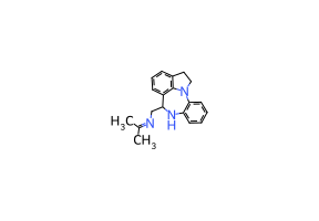 CC(C)=NCC1Nc2ccccc2N2CCc3cccc1c32